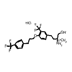 C[C@@](N)(CO)CCc1ccc(OCCCc2ccc(C(F)(F)F)cc2)c(C(F)(F)F)c1.Cl